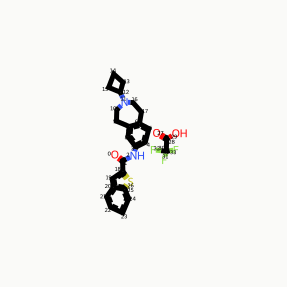 O=C(Nc1ccc2c(c1)CCN(C1CCC1)CC2)c1cc2ccccc2s1.O=C(O)C(F)(F)F